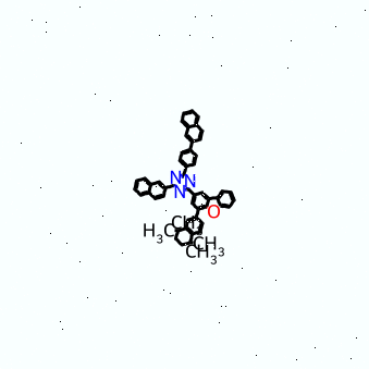 CC1(C)CCC(C)(C)c2cc(-c3cc(-c4nc(-c5ccc(-c6ccc7ccccc7c6)cc5)nc(-c5ccc6ccccc6c5)n4)cc4c3oc3ccccc34)ccc21